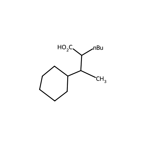 CCCCC(C(=O)O)C(C)C1CCCCC1